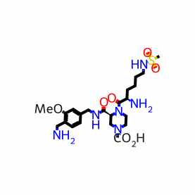 COc1cc(CNC(=O)[C@@H]2CN(C(=O)O)CCN2C(=O)[C@H](N)CCCCNS(C)(=O)=O)ccc1CN